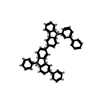 c1cc(-c2ccccc2)cc(-n2c3ccccc3c3cc(-c4ccc5c(c4)c4cc(-c6ccccc6)ccc4n5-c4ccccc4)ccc32)c#1